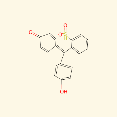 O=C1C=CC(=C(c2ccc(O)cc2)c2ccccc2[SH](=O)=O)C=C1